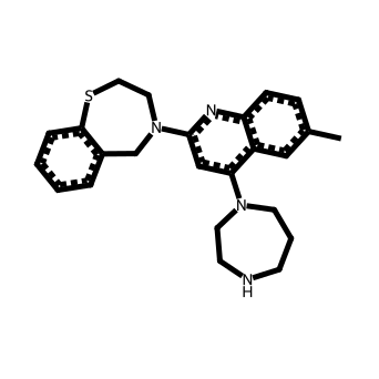 Cc1ccc2nc(N3CCSc4ccccc4C3)cc(N3CCCNCC3)c2c1